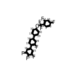 Fc1ccc(C(F)(F)Oc2ccc(-c3ccc(-c4cc(F)c(F)c(F)c4)c(F)c3)cc2)c(F)c1